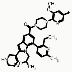 CCc1nc(C)ccc1-c1cc(C(=O)N2CCN(c3ncc(F)cc3OC)CC2)cc2cc(C3=CCCNC3)n(CC(C)C)c12